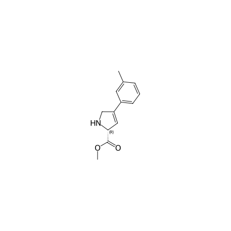 COC(=O)[C@H]1C=C(c2cccc(C)c2)CN1